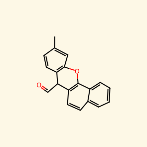 Cc1ccc2c(c1)Oc1c(ccc3ccccc13)C2C=O